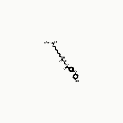 CCCCCC(CC)SCCCCCCNC(=O)NCNC(=O)c1ccc(Oc2ccc(O)cc2)cc1